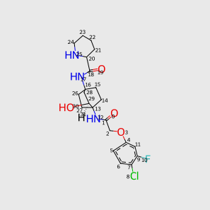 O=C(COc1ccc(Cl)c(F)c1)NC12CCC(NC(=O)C3CCCCN3)(CC1)C[C@@H]2O